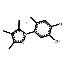 Cc1nn(-c2cc(O)c(Cl)cc2Cl)c(C)c1C